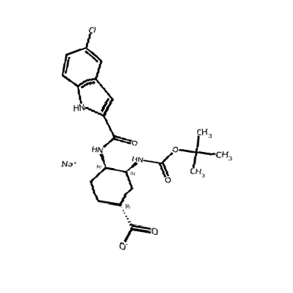 CC(C)(C)OC(=O)N[C@H]1C[C@H](C(=O)[O-])CC[C@H]1NC(=O)c1cc2cc(Cl)ccc2[nH]1.[Na+]